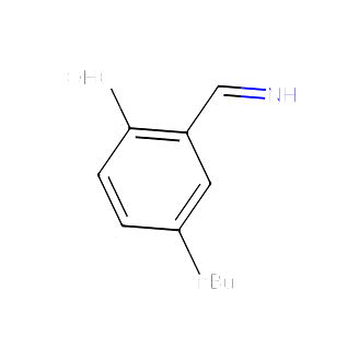 CCCCc1ccc([C]=O)c([C]=N)c1